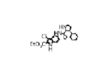 CCOC(=O)c1[nH]c2ccc(NC(=O)[C@H]3NCC[C@H]3C3CCCCC3)cc2c1Cl